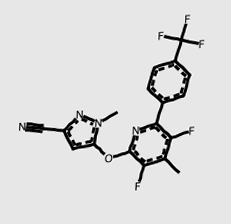 Cc1c(F)c(Oc2cc(C#N)nn2C)nc(-c2ccc(C(F)(F)F)cc2)c1F